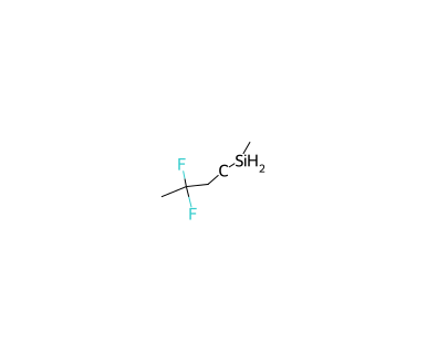 C[SiH2]CCC(C)(F)F